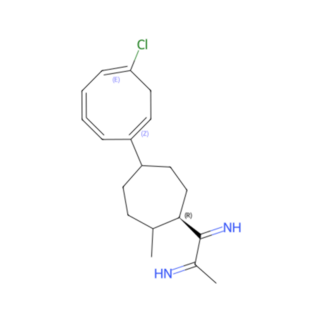 CC(=N)C(=N)[C@@H]1CCC(/C2=C/C/C(Cl)=C\C=C=C2)CCC1C